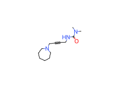 CN(C)C(=O)NCC#CCN1CCCCCC1